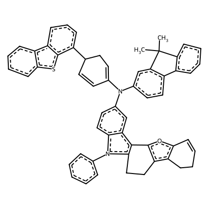 CC1(C)c2ccccc2-c2ccc(N(C3=CCC(c4cccc5c4sc4ccccc45)C=C3)c3ccc4c(c3)c3c(n4-c4ccccc4)CCc4c-3oc3c4CCC=C3)cc21